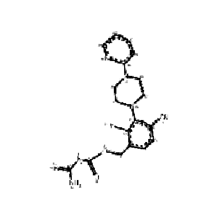 N#Cc1ccc(COC(=O)NC(=N)N)c(F)c1N1CCN(c2ccccn2)CC1